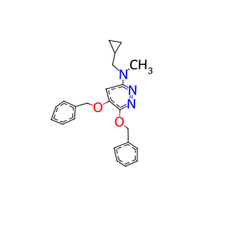 CN(CC1CC1)c1cc(OCc2ccccc2)c(OCc2ccccc2)nn1